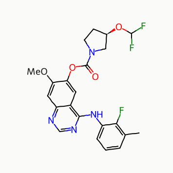 COc1cc2ncnc(Nc3cccc(C)c3F)c2cc1OC(=O)N1CC[C@@H](OC(F)F)C1